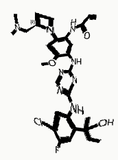 C=CC(=O)Nc1cc(Nc2ncnc(Nc3cc(Cl)c(F)cc3C(C)(O)CC)n2)c(OC)cc1N1CC[C@@H]1CN(C)C